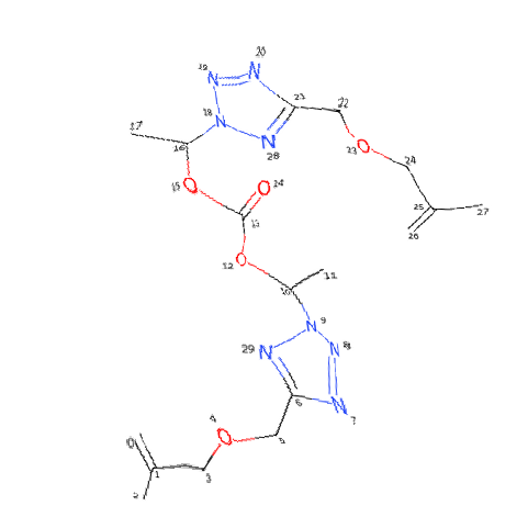 C=C(C)COCc1nnn(C(C)OC(=O)OC(C)n2nnc(COCC(=C)C)n2)n1